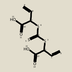 C=CC(SC(=S)SC(C=C)C(=O)O)C(=O)O